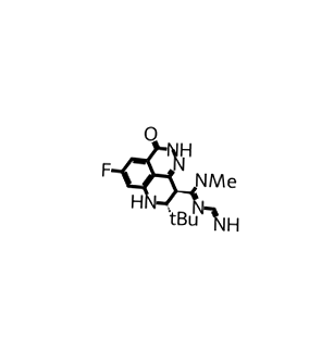 CN/C(=N\C=N)[C@@H]1c2n[nH]c(=O)c3cc(F)cc(c23)N[C@H]1C(C)(C)C